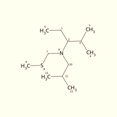 CCC(C(C)C)N(CSC)CC(C)C